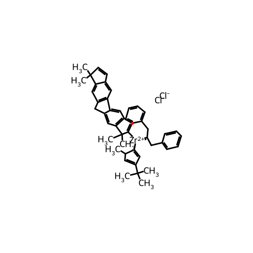 CC1C=C(C(C)(C)C)C=[C]1[Zr+2]([C]1=Cc2cc3c(cc2C1(C)C)Cc1cc2c(cc1-3)C=CC2(C)C)=[C](Cc1ccccc1)Cc1ccccc1.[Cl-].[Cl-]